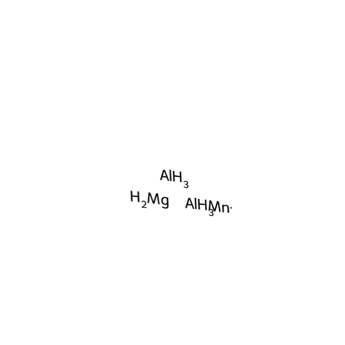 [AlH3].[AlH3].[MgH2].[Mn]